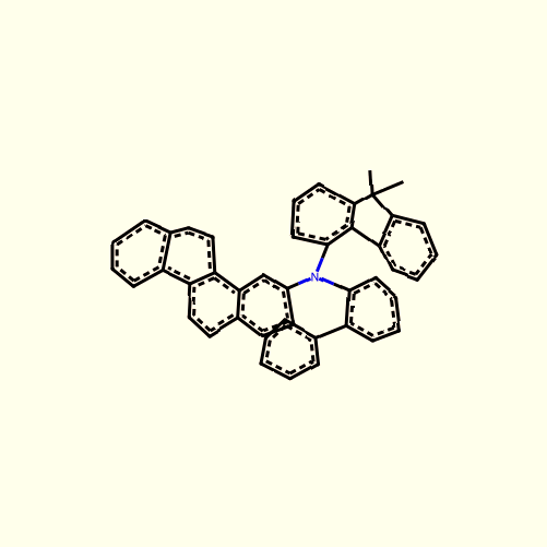 CC1(C)c2ccccc2-c2c(N(c3ccc4ccc5c6ccccc6ccc5c4c3)c3ccccc3-c3ccccc3)cccc21